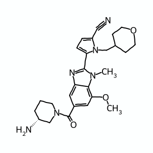 COc1cc(C(=O)N2CCC[C@@H](N)C2)cc2nc(-c3ccc(C#N)n3CC3CCOCC3)n(C)c12